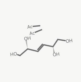 CC(C)=O.CC(C)=O.OC[C@H](O)C=C[C@@H](O)CO